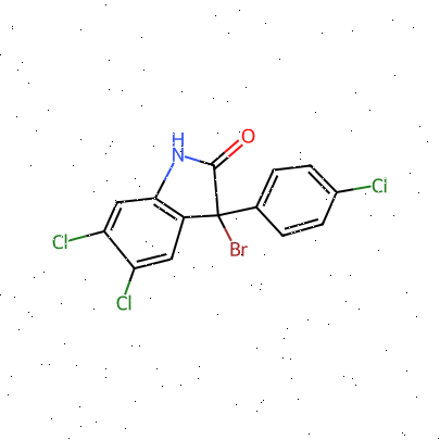 O=C1Nc2cc(Cl)c(Cl)cc2C1(Br)c1ccc(Cl)cc1